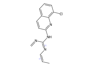 C=N/C(=N\C=C/C)Nc1ccc2cccc(Cl)c2n1